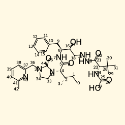 CC[C@H](C)[C@@H](C(=O)N[C@@H](Cc1ccccc1)[C@@H](O)CNNC(=O)[C@@H](NC(=O)O)C(C)(C)C)N1CCN(Cc2cccc(C)n2)C1=O